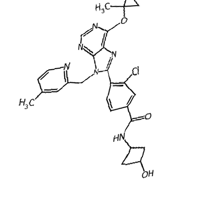 Cc1ccnc(Cn2c(-c3ccc(C(=O)NC4CC(O)C4)cc3Cl)nc3c(OC4(C)CC4)ncnc32)c1